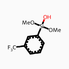 CO[Si](O)(OC)c1cccc(C(F)(F)F)c1